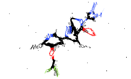 COc1ncc(-c2cc(C)c3c(n2)CN(c2cn[nH]c2)C3=O)cc1OCC(F)F